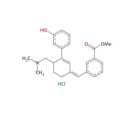 COC(=O)c1cccc(/C=C2\C=C(c3cccc(O)c3)C(CN(C)C)CC2)c1.Cl